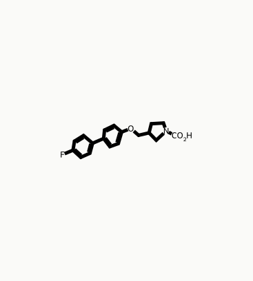 O=C(O)N1CCC(COc2ccc(-c3ccc(F)cc3)cc2)C1